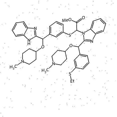 CCSc1cccc(C(OC2CCN(C)CC2)c2nc3ccccc3n2C(Sc2cccc(C(OC3CCN(C)CC3)c3nc4ccccc4[nH]3)c2)C(=O)OC)c1